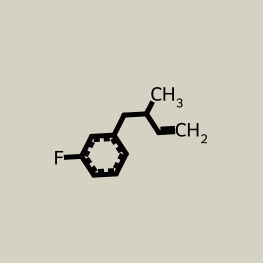 C=C[C](C)Cc1cccc(F)c1